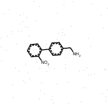 NCc1ccc(-c2ccccc2[N+](=O)[O-])cc1